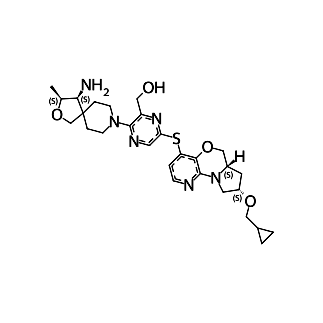 C[C@@H]1OCC2(CCN(c3ncc(Sc4ccnc5c4OC[C@@H]4C[C@H](OCC6CC6)CN54)nc3CO)CC2)[C@@H]1N